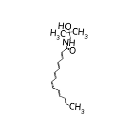 CCC/C=C/C=C\C=C\C=C\C=C\C(=O)NCC(C)(C)O